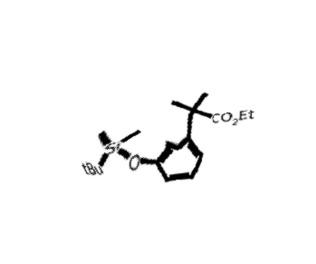 CCOC(=O)C(C)(C)c1cccc(O[Si](C)(C)C(C)(C)C)c1